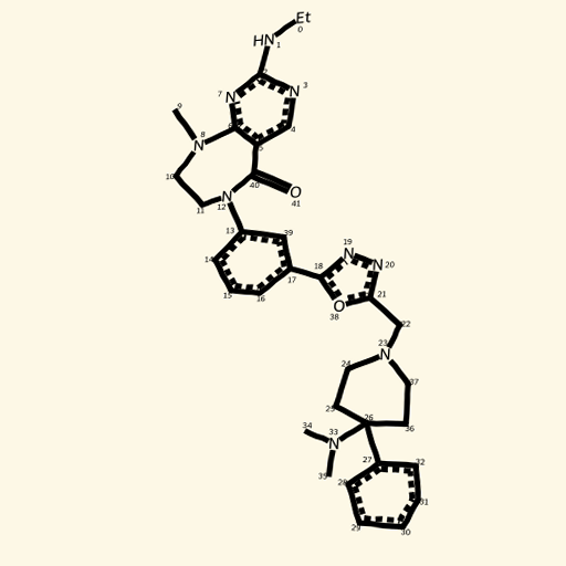 CCNc1ncc2c(n1)N(C)CCN(c1cccc(-c3nnc(CN4CCC(c5ccccc5)(N(C)C)CC4)o3)c1)C2=O